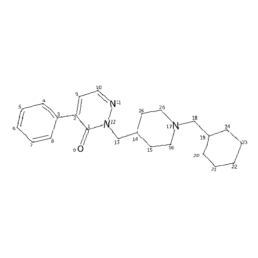 O=c1c(-c2ccccc2)ccnn1CC1CCN(CC2CCCCC2)CC1